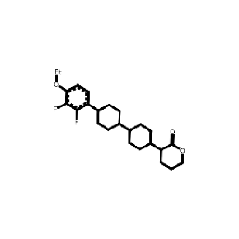 CCOc1ccc(C2CCC(C3CCC(C4CCCOC4=O)CC3)CC2)c(F)c1F